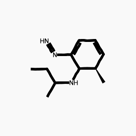 CCC(C)NC1C(N=N)=CC=C[C@H]1C